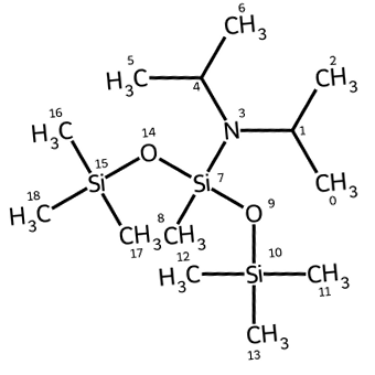 CC(C)N(C(C)C)[Si](C)(O[Si](C)(C)C)O[Si](C)(C)C